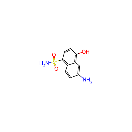 Nc1ccc2c(S(N)(=O)=O)ccc(O)c2c1